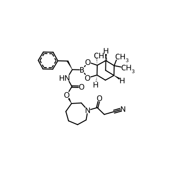 CC1(C)[C@@H]2C[C@H]3OB([C@H](Cc4ccccc4)NC(=O)O[C@@H]4CCCCN(C(=O)CC#N)C4)O[C@@]3(C)[C@H]1C2